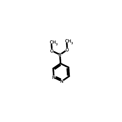 COB(OC)c1ccnnc1